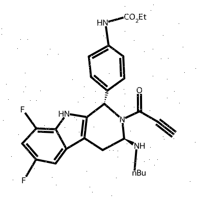 C#CC(=O)N1[C@@H](c2ccc(NC(=O)OCC)cc2)c2[nH]c3c(F)cc(F)cc3c2C[C@@H]1NCCCC